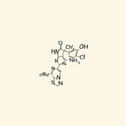 CCCCc1nc(-c2nc(N)c3c(n2)NC(=O)C3(C)c2ccc(Cl)c(O)c2)cn2ncnc12